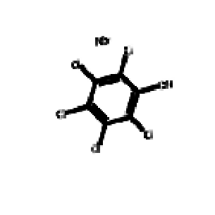 Oc1c(Cl)c(Cl)c(Cl)c(Cl)c1Cl.[Nb]